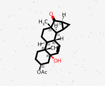 CC(=O)O[C@H]1CC[C@]2(C)[C@H]3CC[C@]4(C)C(=O)[C@H]5CC5[C@H]4[C@@H]3C=C[C@]2(O)C1